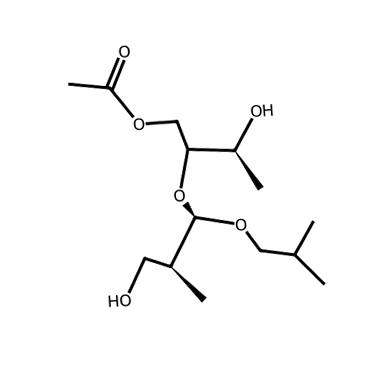 CC(=O)OCC(O[C@@H](OCC(C)C)[C@@H](C)CO)[C@H](C)O